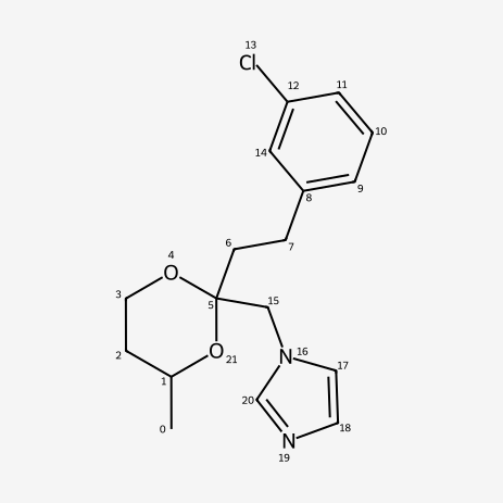 CC1CCOC(CCc2cccc(Cl)c2)(Cn2ccnc2)O1